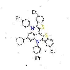 CCc1ccc2sc3c(c2c1)N(c1ccc(C(C)C)cc1)c1cc(C2CCCCC2)cc2c1B3c1sc3ccc(CC)cc3c1N2c1ccc(C(C)C)cc1